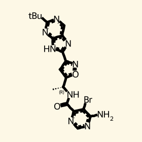 C[C@@H](NC(=O)c1ncnc(N)c1Br)c1cc(-c2nc3cnc(C(C)(C)C)nc3[nH]2)no1